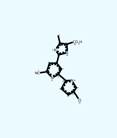 Cc1nc(-c2cc(C#N)nc(-c3ccc(Cl)cn3)c2)sc1C(=O)O